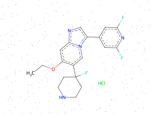 CCOc1cc2ncc(-c3cc(F)nc(F)c3)n2cc1C1(F)CCNCC1.Cl